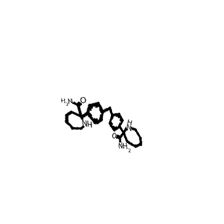 NC(=O)C1(c2ccc(Cc3ccc(C4(C(N)=O)CCCCCN4)cc3)cc2)CCCCCN1